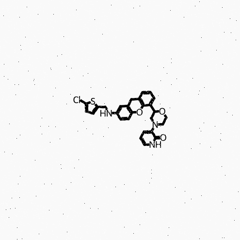 O=c1[nH]cccc1N1CCOC(c2cccc3c2Oc2ccc(NCc4ccc(Cl)s4)cc2C3)C1